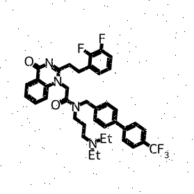 CCN(CC)CCCN(Cc1ccc(-c2ccc(C(F)(F)F)cc2)cc1)C(=O)Cn1c(CCc2cccc(F)c2F)nc(=O)c2ccccc21